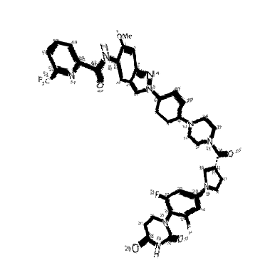 COc1cc2nn(C3CCC(N4CCN(C(=O)[C@@H]5CCN(c6cc(F)c(N7CCC(=O)NC7=O)c(F)c6)C5)CC4)CC3)cc2cc1NC(=O)c1cccc(C(F)(F)F)n1